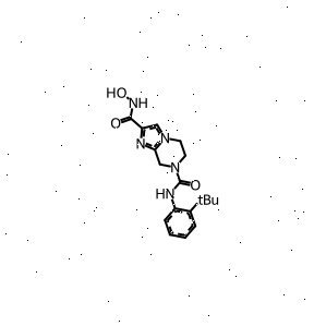 CC(C)(C)c1ccccc1NC(=O)N1CCn2cc(C(=O)NO)nc2C1